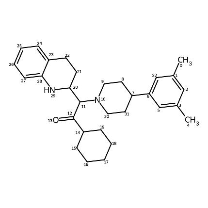 Cc1cc(C)cc(C2CCN(C(C(=O)C3CCCCC3)C3CCc4ccccc4N3)CC2)c1